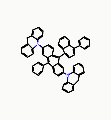 c1ccc(-c2ccc(-c3c4ccc(N5c6ccccc6Cc6ccccc65)cc4c(-c4ccccc4)c4ccc(N5c6ccccc6Cc6ccccc65)cc34)c3ccccc23)cc1